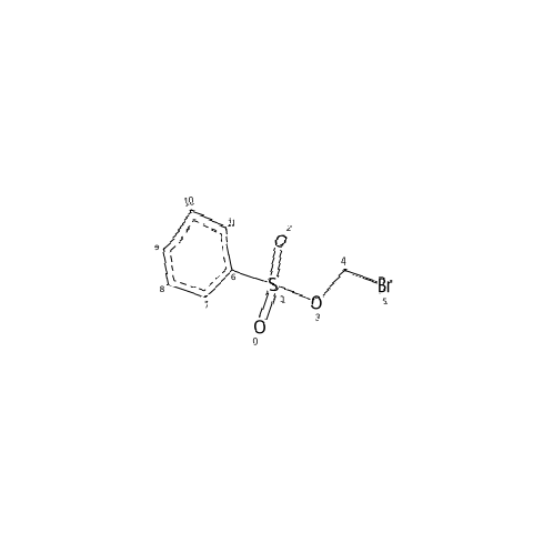 O=S(=O)(OCBr)c1ccccc1